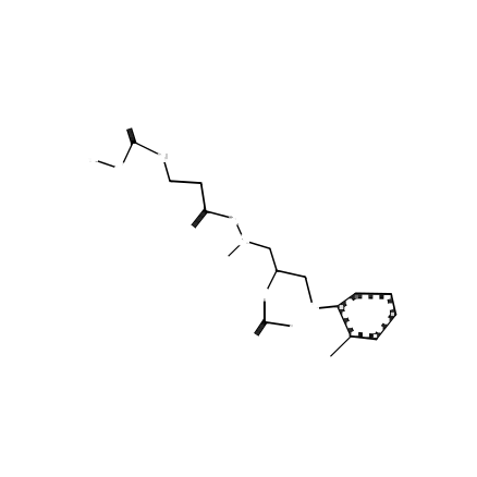 CCN(CC(COc1ccccc1C)OC(=O)C(=O)O)NC(=O)CCNC(=O)OC(C)(C)C